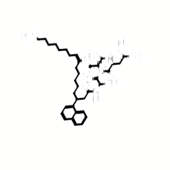 CCCCCCCC/C=C\CCCCCC(CC(=O)NC(C)C(=O)N(C(=O)C(N)CC(C)C)C(C(=O)O)C(C)C)c1cccc2ccccc12